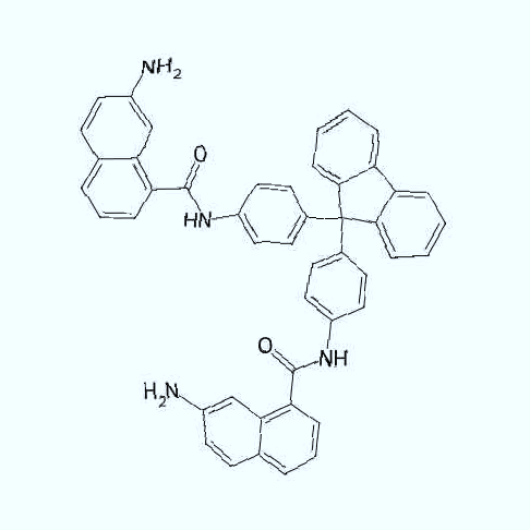 Nc1ccc2cccc(C(=O)Nc3ccc(C4(c5ccc(NC(=O)c6cccc7ccc(N)cc67)cc5)c5ccccc5-c5ccccc54)cc3)c2c1